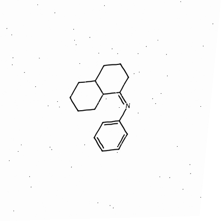 c1ccc(/N=C2/CCCC3CCCCC23)cc1